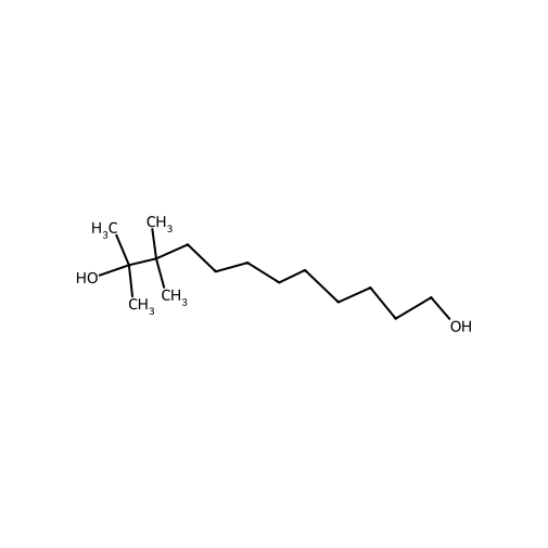 CC(C)(O)C(C)(C)CCCCCCCCCO